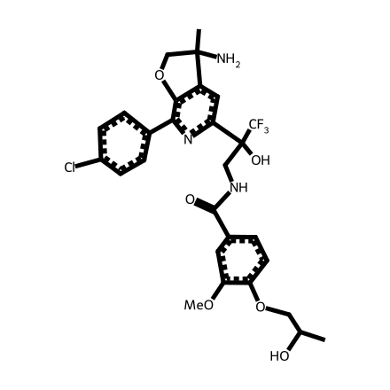 COc1cc(C(=O)NCC(O)(c2cc3c(c(-c4ccc(Cl)cc4)n2)OCC3(C)N)C(F)(F)F)ccc1OCC(C)O